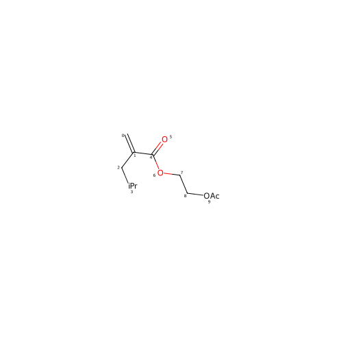 C=C(CC(C)C)C(=O)OCCOC(C)=O